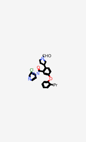 CC(C)c1ccccc1Oc1ccc(C2CCN(C=O)C2)c(C(N)=O)c1.Clc1cccnc1